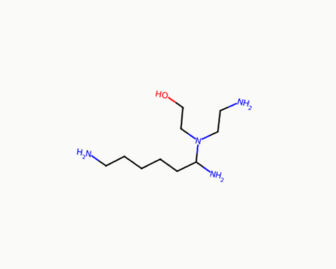 NCCCCCC(N)N(CCN)CCO